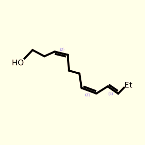 CC/C=C/C=C\CC/C=C\CCO